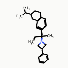 CCC(C)(c1ccc2c(c1)CC(C(C)C)CC2)N1CC(c2ccccc2)C1